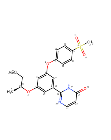 COC[C@H](C)Oc1cc(Oc2ccc(S(C)(=O)=O)cc2)cc(-c2nccc(=O)[nH]2)c1